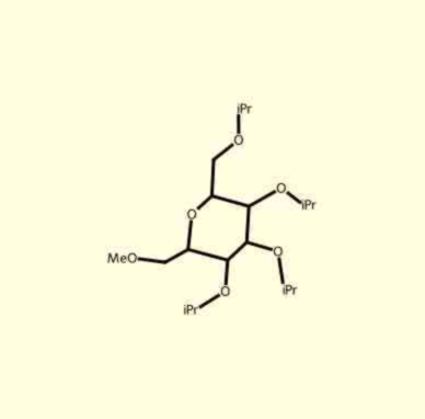 COCC1OC(COC(C)C)C(OC(C)C)C(OC(C)C)C1OC(C)C